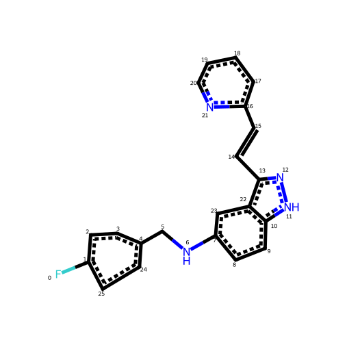 Fc1ccc(CNc2ccc3[nH]nc(C=Cc4ccccn4)c3c2)cc1